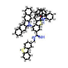 N=C(/N=C/c1ccc2sc3ccccc3c2c1)c1cc(-n2c3cc4ccccc4cc3c3cc4cccc(-c5ccc6c(c5)[nH]c5ccccc56)c4cc32)c2c(c1)sc1c3ccccc3ccc12